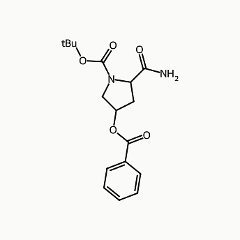 CC(C)(C)OC(=O)N1CC(OC(=O)c2ccccc2)CC1C(N)=O